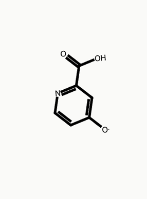 [O]c1ccnc(C(=O)O)c1